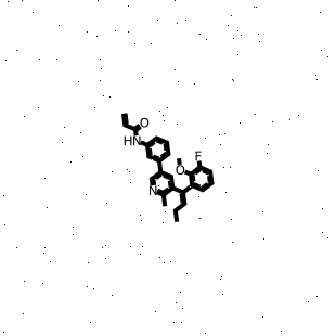 C=CC(=O)Nc1cccc(-c2cnc(C)c(/C(=C\CC)c3cccc(F)c3OC)c2)c1